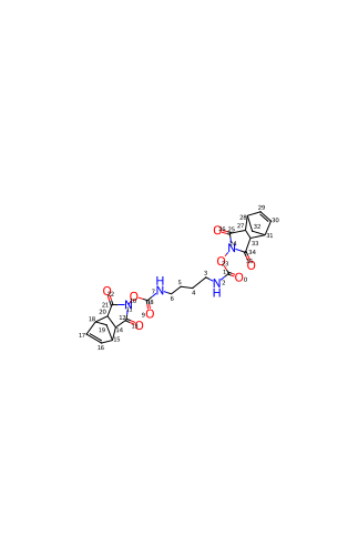 O=C(NCCCCNC(=O)ON1C(=O)C2C3C=CC(C3)C2C1=O)ON1C(=O)C2C3C=CC(C3)C2C1=O